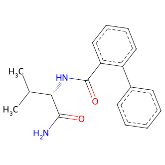 CC(C)[C@H](NC(=O)c1ccccc1-c1ccccc1)C(N)=O